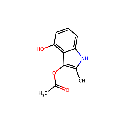 CC(=O)Oc1c(C)[nH]c2cccc(O)c12